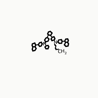 C=C/C=C\C=C\N(c1ccc(-c2ccccc2-c2ccc(N(c3ccccc3)c3ccc(-c4cccc5ccccc45)cc3)cc2)cc1)c1ccc(-c2cccc3ccccc23)cc1